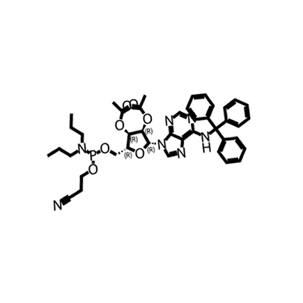 CCCN(CCC)P(OCCC#N)OC[C@H]1O[C@@H](n2cnc3c(NC(c4ccccc4)(c4ccccc4)c4ccccc4)ncnc32)[C@H](OC(C)=O)[C@@H]1OC(C)=O